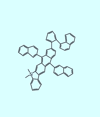 C[Si]1(C)c2ccccc2-c2cc3c(-c4ccc5ccccc5c4)c4ccc(-c5ccccc5-c5cccc6ccccc56)cc4c(-c4ccc5ccccc5c4)c3cc21